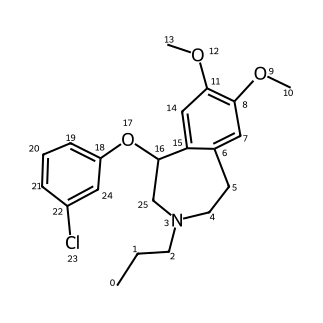 CCCN1CCc2cc(OC)c(OC)cc2C(Oc2cccc(Cl)c2)C1